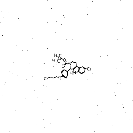 CC(C)OC(=O)N1CCc2c([nH]c3ccc(Cl)cc23)C1c1ccc(OCCCCl)cc1